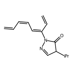 C=C/C=C\C=C(/C=C)N1N=CC(C(C)C)C1=O